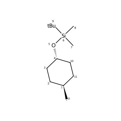 [CH2][C@H]1CC[C@H](O[Si](C)(C)C(C)(C)C)CC1